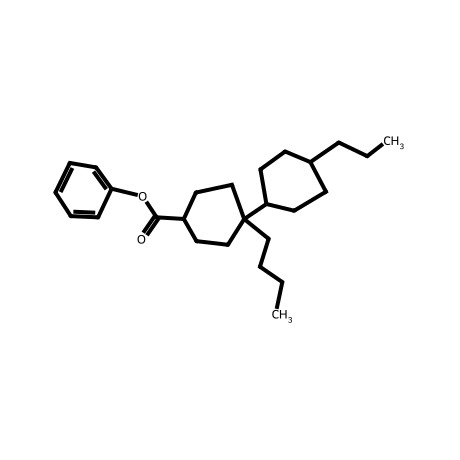 CCCCC1(C2CCC(CCC)CC2)CCC(C(=O)Oc2ccccc2)CC1